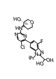 CC(C)n1c(C(O)O)nc2c(F)cc(-c3nc(N[C@@H]4CCOC[C@H]4O)ncc3Cl)cc21